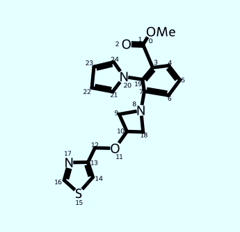 COC(=O)c1cccc(N2CC(OCc3cscn3)C2)c1-n1cccc1